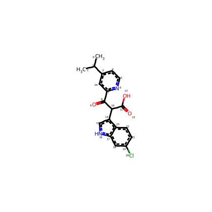 CC(C)c1ccnc(C(=O)C(C(=O)O)c2c[nH]c3cc(Cl)ccc23)c1